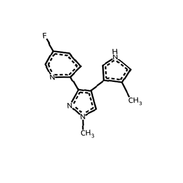 Cc1c[nH]cc1-c1cn(C)nc1-c1ccc(F)cn1